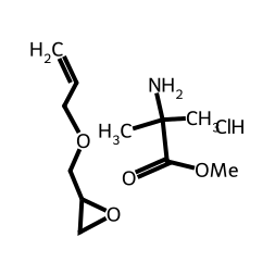 C=CCOCC1CO1.COC(=O)C(C)(C)N.Cl